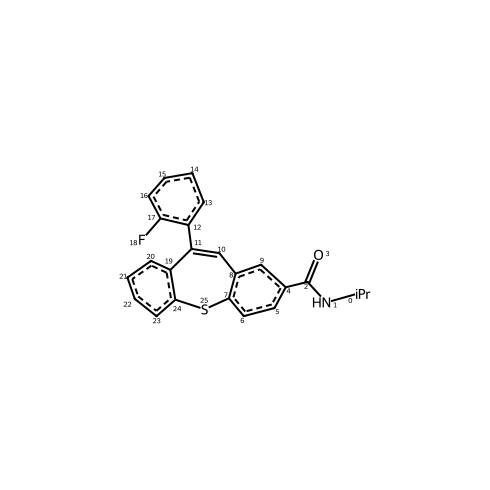 CC(C)NC(=O)c1ccc2c(c1)C=C(c1ccccc1F)c1ccccc1S2